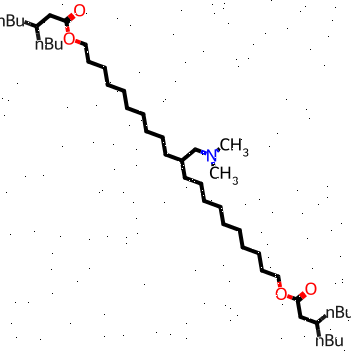 CCCCC(CCCC)CC(=O)OCCCCCCCCCCC(CCCCCCCCCCOC(=O)CC(CCCC)CCCC)CN(C)C